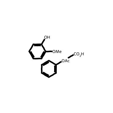 CC(=O)O.CC(=O)Oc1ccccc1.COc1ccccc1O